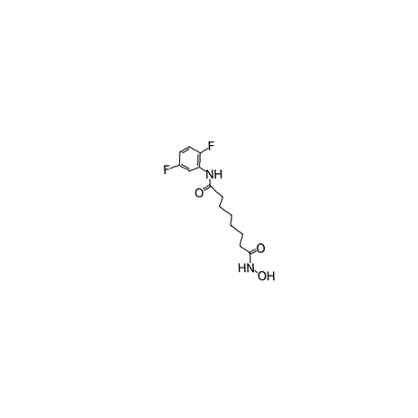 O=C(CCCCCCC(=O)Nc1cc(F)ccc1F)NO